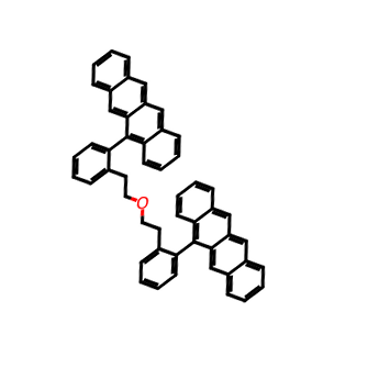 c1ccc(-c2c3ccccc3cc3cc4ccccc4cc23)c(CCOCCc2ccccc2-c2c3ccccc3cc3cc4ccccc4cc23)c1